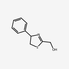 OCC1=NC(c2ccccc2)CS1